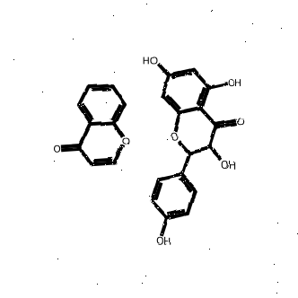 O=C1c2c(O)cc(O)cc2OC(c2ccc(O)cc2)C1O.O=c1ccoc2ccccc12